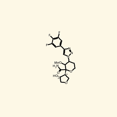 COC1C(n2cc(-c3cc(F)c(F)c(F)c3)nn2)CCOC1(C(N)=O)[C@H]1COC[C@@H]1O